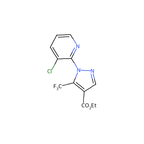 CCOC(=O)c1cnn(-c2ncccc2Cl)c1C(F)(F)F